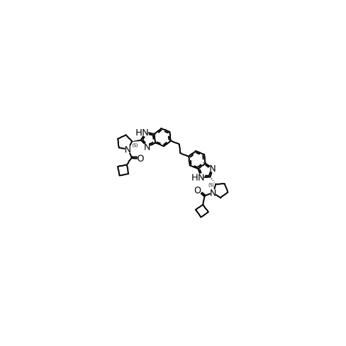 O=C(C1CCC1)N1CCC[C@H]1c1nc2cc(CCc3ccc4nc([C@@H]5CCCN5C(=O)C5CCC5)[nH]c4c3)ccc2[nH]1